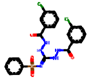 O=C(NNC(=NS(=O)(=O)c1ccccc1)NNC(=O)c1cccc(Cl)c1)c1cccc(Cl)c1